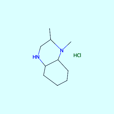 CC1CNC2CCCCC2N1C.Cl